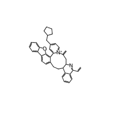 C=CC1=NC2CC(=C)[n+]3ccc(CC4CCCC4)cc3-c3c(ccc4c3oc3ccccc34)CCC2c2ccccc21